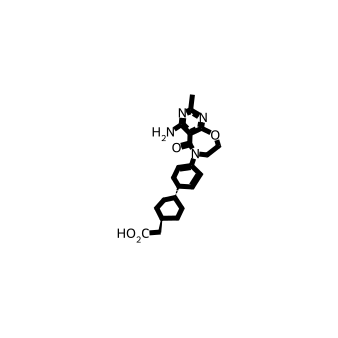 Cc1nc(N)c2c(n1)OCCN(C1=CCC([C@H]3CC[C@H](CC(=O)O)CC3)C=C1)C2=O